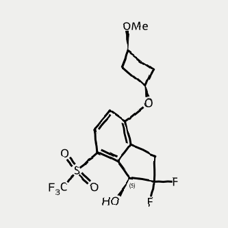 CO[C@H]1C[C@@H](Oc2ccc(S(=O)(=O)C(F)(F)F)c3c2CC(F)(F)[C@H]3O)C1